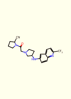 N#CC1CCCN1C(=O)CN1CC[C@@H](Nc2ccc3nc(C(F)(F)F)ccc3c2)C1